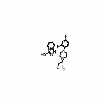 CCCN1CCN(c2ccc(F)cc2F)CC1.Sc1nnc2ccccn12